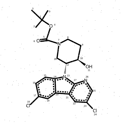 CC(C)(C)OC(=O)N1CC[C@@H](O)[C@H](n2c3ccc(Cl)cc3c3cc(Cl)cnc32)C1